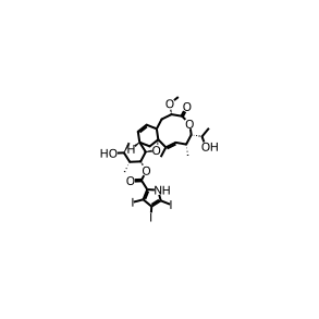 CO[C@H]1CC2C=C[C@@H]3C[C@]2(O[C@H]3[C@H](OC(=O)c2[nH]c(I)c(I)c2I)[C@H](C)[C@H](C)O)/C(C)=C/[C@@H](C)[C@@H](C(C)O)OC1=O